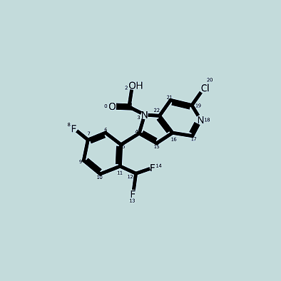 O=C(O)n1c(-c2cc(F)ccc2C(F)F)cc2cnc(Cl)cc21